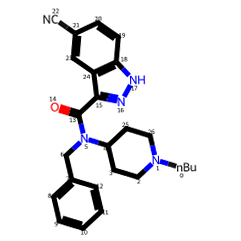 CCCCN1CCC(N(Cc2ccccc2)C(=O)c2n[nH]c3ccc(C#N)cc23)CC1